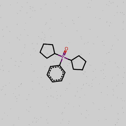 O=P(c1ccccc1)(C1CCCC1)C1CCCC1